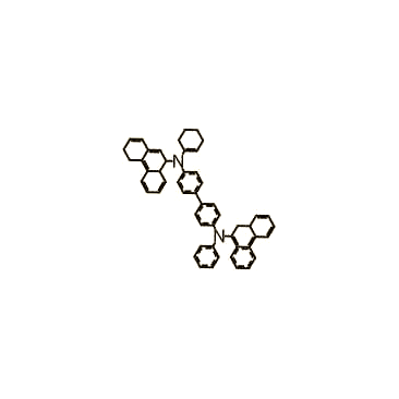 C1=CC2=C3CCC=CC3=CC(N(C3=CCCCC3)c3ccc(-c4ccc(N(C5=c6ccccc6=C6C=CC=CC6C5)c5ccccc5)cc4)cc3)C2C=C1